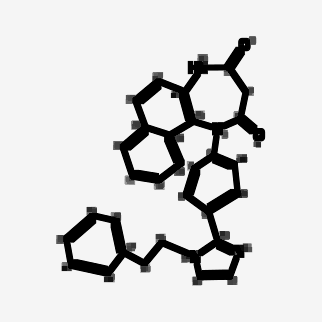 O=C1CC(=O)N(c2ccc(-c3nccn3CCc3ccccc3)cc2)c2c(ccc3ccccc23)N1